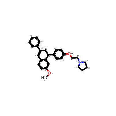 COc1ccc2c(c1)C(c1ccc(OCCN3CCCC3)cc1)CC(c1ccccc1)=C2